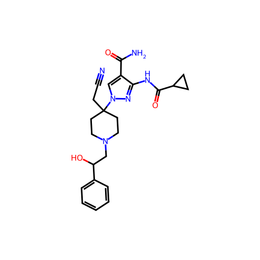 N#CCC1(n2cc(C(N)=O)c(NC(=O)C3CC3)n2)CCN(CC(O)c2ccccc2)CC1